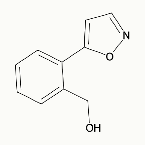 OCc1ccccc1-c1ccno1